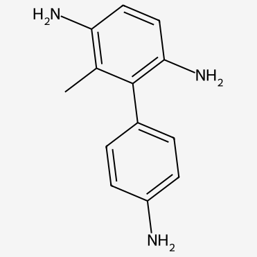 Cc1c(N)ccc(N)c1-c1ccc(N)cc1